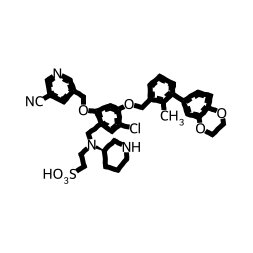 Cc1c(COc2cc(OCc3cncc(C#N)c3)c(CN(CCS(=O)(=O)O)[C@@H]3CCCNC3)cc2Cl)cccc1-c1ccc2c(c1)OCCO2